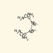 Nc1ccc(N)c(OCCCN2C=C[N+]=C2CCCC2=[N+]C=CN2CCCOc2cc(N)ccc2N)c1